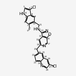 Fc1cc2[nH]cc(Cl)c2cc1CNc1noc2cnc(Cc3ccc4ncc(Cl)cc4c3)cc12